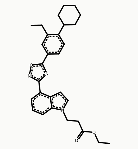 CCOC(=O)CCn1ccc2c(-c3noc(-c4ccc(C5CCCCC5)c(CC)c4)n3)cccc21